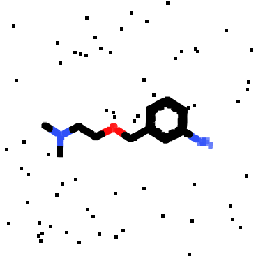 CN(C)CCOCc1cccc(N)c1